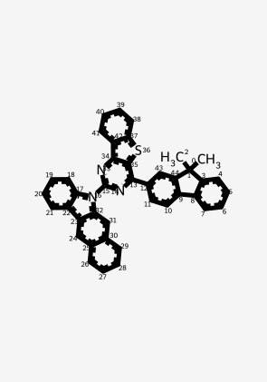 CC1(C)c2ccccc2-c2ccc(-c3nc(-n4c5ccccc5c5cc6ccccc6cc54)nc4c3sc3ccccc34)cc21